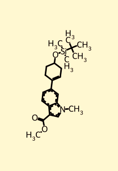 COC(=O)c1cn(C)c2cc(C3=CCC(O[Si](C)(C)C(C)(C)C)CC3)ccc12